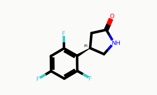 O=C1C[C@H](c2c(F)cc(F)cc2F)CN1